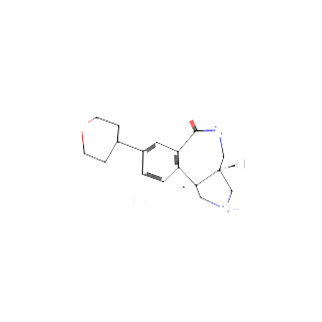 Cl.O=C1NC[C@@H]2CNC[C@H]2c2ccc(C3CCOCC3)cc21